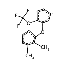 Cc1cccc(Oc2c[c]ccc2OC(F)(F)F)c1C